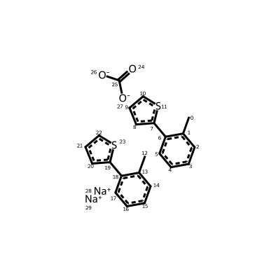 Cc1ccccc1-c1cccs1.Cc1ccccc1-c1cccs1.O=C([O-])[O-].[Na+].[Na+]